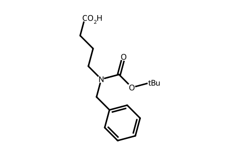 CC(C)(C)OC(=O)N(CCCC(=O)O)Cc1ccccc1